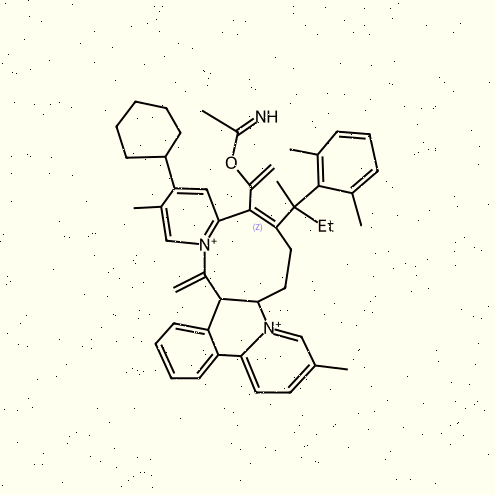 C=C(OC(C)=N)/C1=C(\C(C)(CC)c2c(C)cccc2C)CCC2C(C(=C)[n+]3cc(C)c(C4CCCCC4)cc31)c1ccccc1-c1ccc(C)c[n+]12